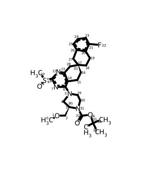 COC[C@H]1CN(c2nc([S+](C)[O-])nc3c2CC[C@@]2(CCc4c(F)cccc4C2)C3)CCN1C(=O)OC(C)(C)C